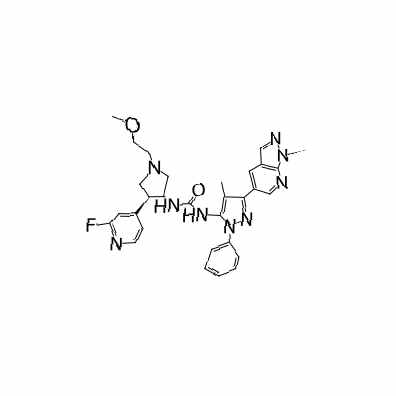 COCCN1C[C@H](NC(=O)Nc2c(C)c(-c3cnc4c(cnn4C)c3)nn2-c2ccccc2)[C@@H](c2ccnc(F)c2)C1